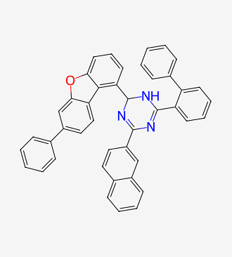 c1ccc(-c2ccc3c(c2)oc2cccc(C4N=C(c5ccc6ccccc6c5)N=C(c5ccccc5-c5ccccc5)N4)c23)cc1